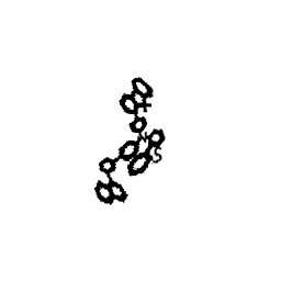 CC1(C)c2ccccc2-c2cccc(-c3ccc(N(c4ccc(-c5cccc(-c6cccc7ccccc67)c5)cc4)c4cccc5sc6ccccc6c45)cc3)c21